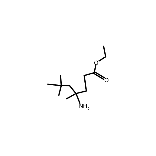 CCOC(=O)CCC(C)(N)CC(C)(C)C